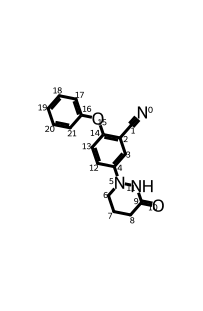 N#Cc1cc(N2CCCC(=O)N2)ccc1Oc1ccccc1